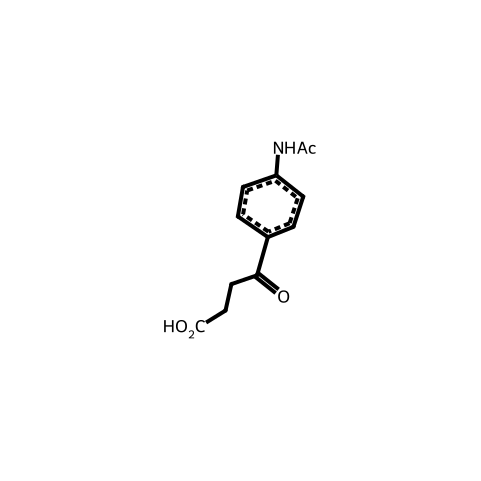 CC(=O)Nc1ccc(C(=O)CCC(=O)O)cc1